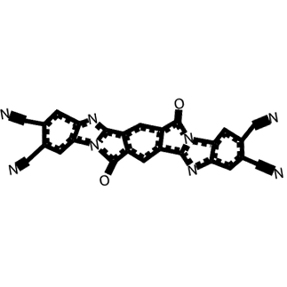 N#Cc1cc2nc3c4cc5c(=O)n6c7cc(C#N)c(C#N)cc7nc6c5cc4c(=O)n3c2cc1C#N